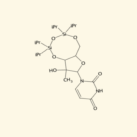 CC(C)[Si]1(C(C)C)OCC2OC(n3ccc(=O)[nH]c3=O)C(C)(O)C2O[Si](C(C)C)(C(C)C)O1